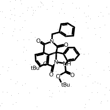 Cc1ccccc1C1(N(NC(=O)OC(C)(C)C)C(=O)OC(C)(C)C)C(=O)N(Cc2ccccc2)C(=O)c2ccccc21